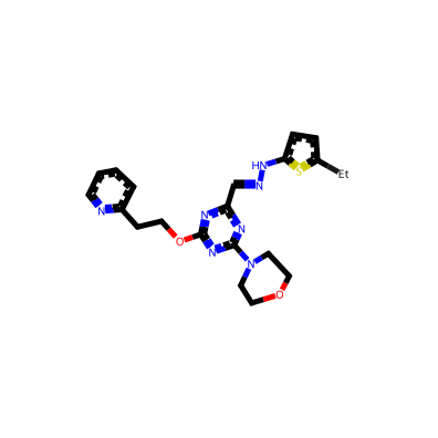 CCc1ccc(NN=Cc2nc(OCCc3ccccn3)nc(N3CCOCC3)n2)s1